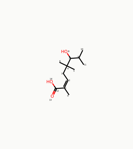 CC(=CCC(C)(C)C(O)C(C)C)C(=O)O